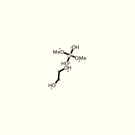 CO[Si](O)(O)OC.OCCO